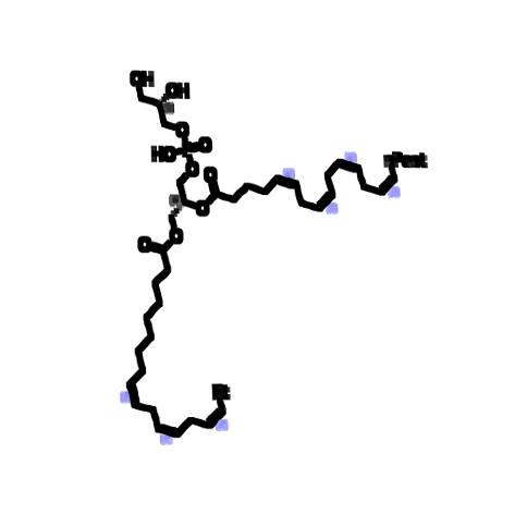 CC/C=C\C/C=C\C/C=C\CCCCCCCC(=O)OC[C@H](COP(=O)(O)OC[C@@H](O)CO)OC(=O)CCC/C=C\C/C=C\C/C=C\C/C=C\CCCCC